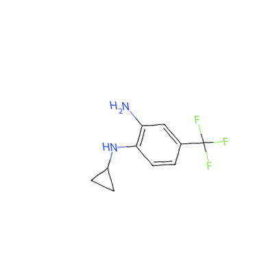 Nc1cc(C(F)(F)F)ccc1NC1CC1